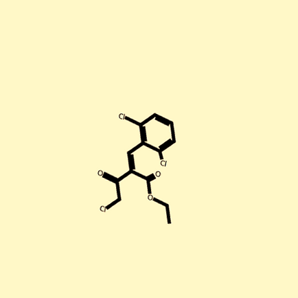 CCOC(=O)/C(=C\c1c(Cl)cccc1Cl)C(=O)CCl